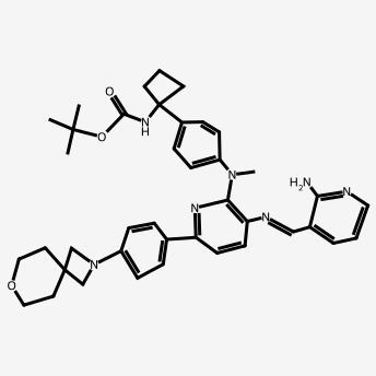 CN(c1ccc(C2(NC(=O)OC(C)(C)C)CCC2)cc1)c1nc(-c2ccc(N3CC4(CCOCC4)C3)cc2)ccc1/N=C/c1cccnc1N